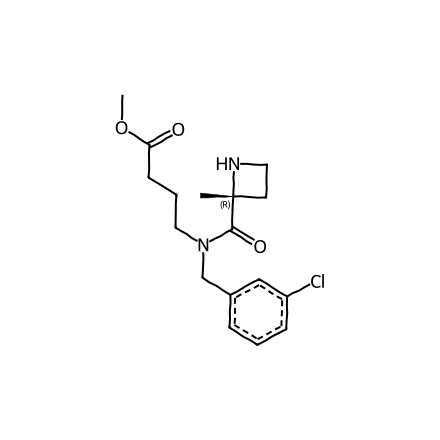 COC(=O)CCCN(Cc1cccc(Cl)c1)C(=O)[C@@]1(C)CCN1